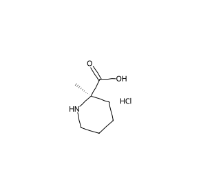 C[C@]1(C(=O)O)CCCCN1.Cl